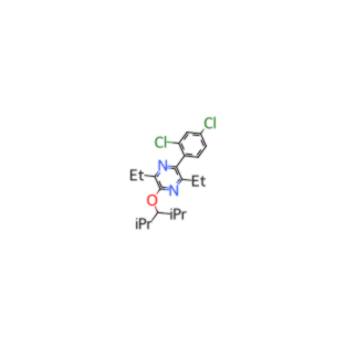 CCc1nc(-c2ccc(Cl)cc2Cl)c(CC)nc1OC(C(C)C)C(C)C